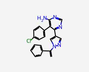 C=C(c1ccccc1)n1cc(-c2ncnc(N)c2-c2ccc(Cl)cc2)cn1